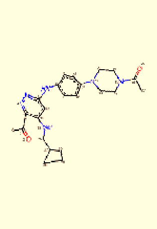 CC(=O)c1nnc(Nc2ccc(N3CCN(C(C)=O)CC3)cc2)cc1NCC1CCC1